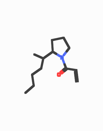 C=CC(=O)N1CCCC1C(C)CCCC